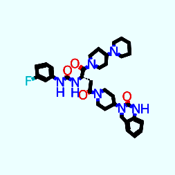 O=C(Nc1cccc(F)c1)N[C@@H](CC(=O)N1CCC(N2Cc3ccccc3NC2=O)CC1)C(=O)N1CCC(N2CCCCC2)CC1